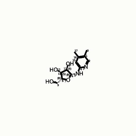 Cc1cnc(N[C@@H]2O[C@H](CO)[C@@H](O)[C@H]2O)cc1C